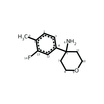 Cc1ccc(C2(N)CCOCC2)cc1F